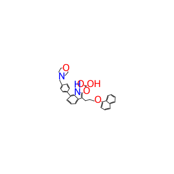 O=C(O)Oc1[nH]c2c(-c3ccc(CN4CCOCC4)cc3)cccc2c1CCCOc1cccc2ccccc12